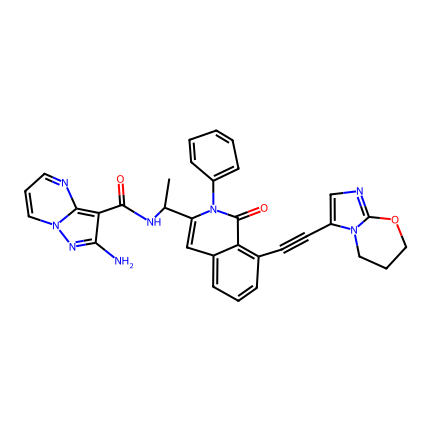 CC(NC(=O)c1c(N)nn2cccnc12)c1cc2cccc(C#Cc3cnc4n3CCCO4)c2c(=O)n1-c1ccccc1